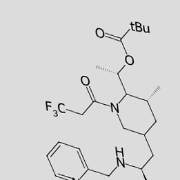 C[C@H](CC1C[C@@H](C)C([C@H](C)OC(=O)C(C)(C)C)N(C(=O)CC(F)(F)F)C1)NCc1ccccn1